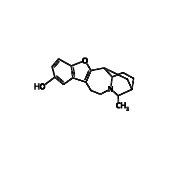 CC1C2CCC3C(C2)c2oc4ccc(O)cc4c2CCN13